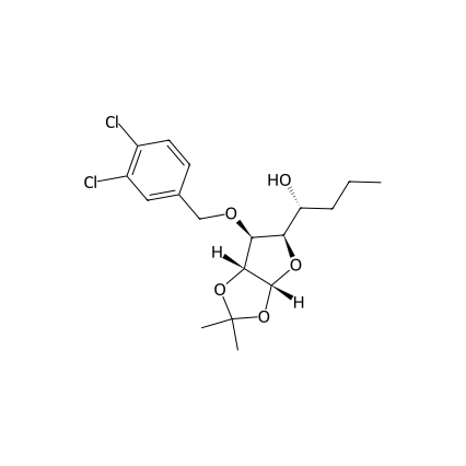 CCC[C@@H](O)[C@H]1O[C@@H]2OC(C)(C)O[C@@H]2[C@H]1OCc1ccc(Cl)c(Cl)c1